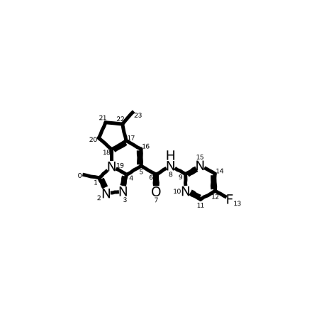 Cc1nnc2c(C(=O)Nc3ncc(F)cn3)cc3c(n12)CCC3C